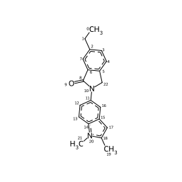 CCc1ccc2c(c1)C(=O)N(c1ccc3c(c1)cc(C)n3C)C2